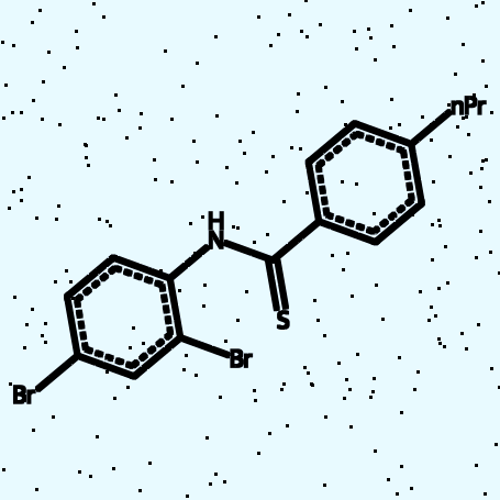 CCCc1ccc(C(=S)Nc2ccc(Br)cc2Br)cc1